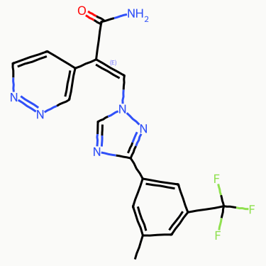 Cc1cc(-c2ncn(/C=C(/C(N)=O)c3ccnnc3)n2)cc(C(F)(F)F)c1